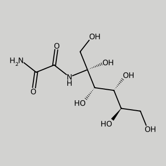 NC(=O)C(=O)N[C@@](O)(CO)[C@@H](O)[C@H](O)[C@H](O)CO